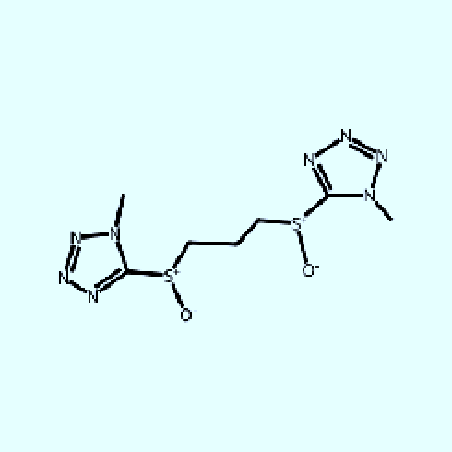 Cn1nnnc1[S+]([O-])CCC[S+]([O-])c1nnnn1C